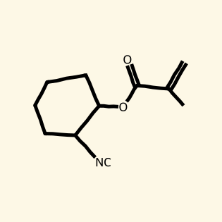 [C-]#[N+]C1CCCCC1OC(=O)C(=C)C